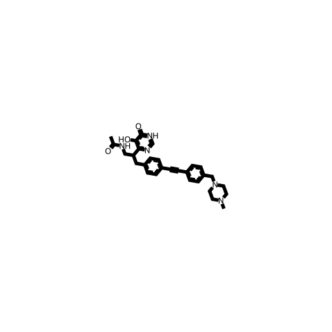 CC(=O)NCC(Cc1ccc(C#Cc2ccc(CN3CCN(C)CC3)cc2)cc1)c1nc[nH]c(=O)c1O